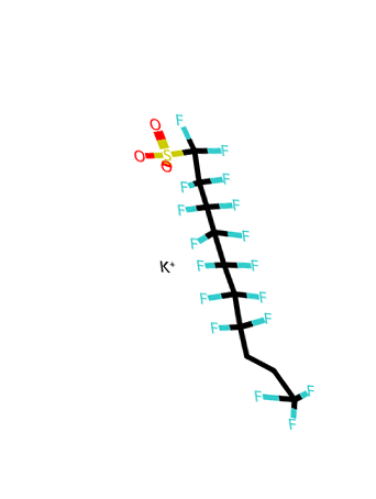 O=S(=O)([O-])C(F)(F)C(F)(F)C(F)(F)C(F)(F)C(F)(F)C(F)(F)C(F)(F)CCC(F)(F)F.[K+]